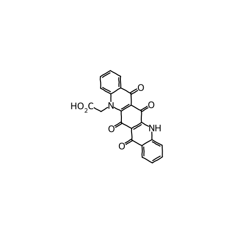 O=C(O)Cn1c2c(c(=O)c3ccccc31)C(=O)c1[nH]c3ccccc3c(=O)c1C2=O